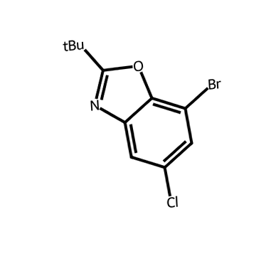 CC(C)(C)c1nc2cc(Cl)cc(Br)c2o1